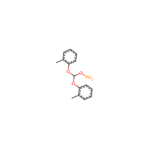 Cc1ccccc1OC(OP)Oc1ccccc1C